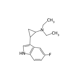 CCN(CC)C1CC1c1c[nH]c2ccc(F)cc12